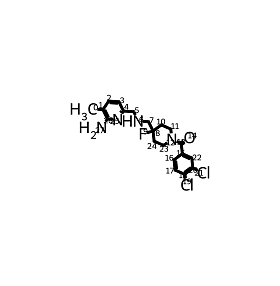 Cc1ccc(CNCC2(F)CCN(C(=O)c3ccc(Cl)c(Cl)c3)CC2)nc1N